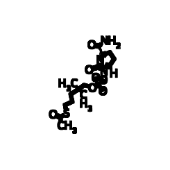 CC(=O)SCCCC(C)(C)COS(=O)(=O)ON1C(=O)N2C[C@H]1CC[C@H]2C(N)=O